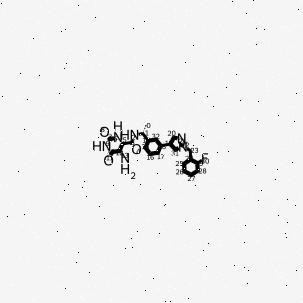 C[C@@H](NC(=O)c1[nH]c(=O)[nH]c(=O)c1N)c1cccc(-c2cnn(Cc3ccccc3F)c2)c1